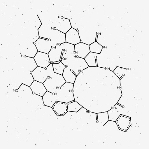 CCCC(=O)OC1C(O)C(CO)OC(OC2C(CO)OC(Oc3ccc(CC4NC(=O)C(C(C)c5ccccc5)NC(=O)CNC(=O)C(CO)NC(=O)C(C(O)C5CNC(=N)N5C5OC(CO)C(O)C(O)C5O)NC(=O)C(C(O)C5CNC(=N)N5)NC4=O)cc3)C(O)C2O)C1O